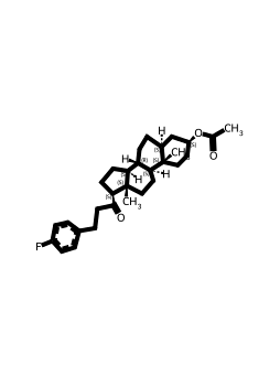 CC(=O)O[C@H]1CC[C@@]2(C)[C@@H](CC[C@@H]3[C@@H]2CC[C@]2(C)[C@@H](C(=O)CCc4ccc(F)cc4)CC[C@@H]32)C1